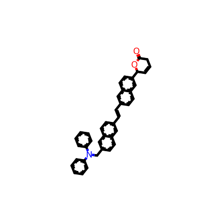 O=C1CC=CC(c2ccc3cc(/C=C/c4ccc5cc(CN(c6ccccc6)c6ccccc6)ccc5c4)ccc3c2)O1